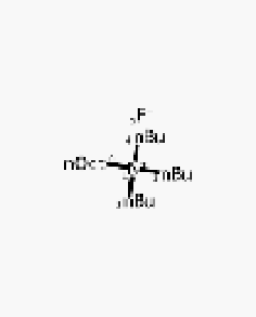 CCCCCCCC[N+](CCCC)(CCCC)CCCC.[F-]